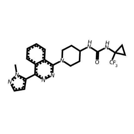 Cn1nccc1-c1nnc(N2CCC(NC(=O)NC3(C(F)(F)F)CC3)CC2)c2ccccc12